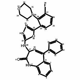 O=C1Nc2ccccc2C(c2ccccc2)=NC1Nc1nnc(-c2cccc(F)c2N2CCOCC2)o1